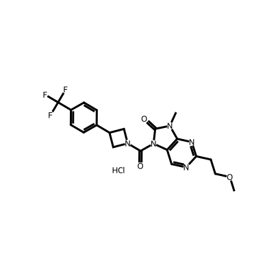 COCCc1ncc2c(n1)n(C)c(=O)n2C(=O)N1CC(c2ccc(C(F)(F)F)cc2)C1.Cl